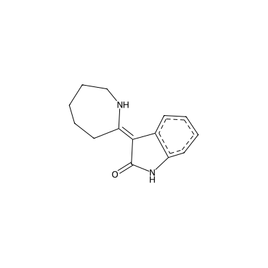 O=C1Nc2ccccc2C1=C1CCCCCN1